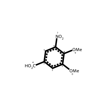 COc1cc(C(=O)O)cc([N+](=O)[O-])c1OC